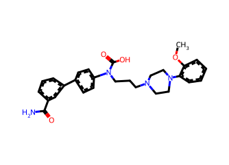 COc1ccccc1N1CCN(CCCN(C(=O)O)c2ccc(-c3cccc(C(N)=O)c3)cc2)CC1